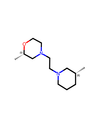 C[C@@H]1CCCN(CCN2CCO[C@@H](C)C2)C1